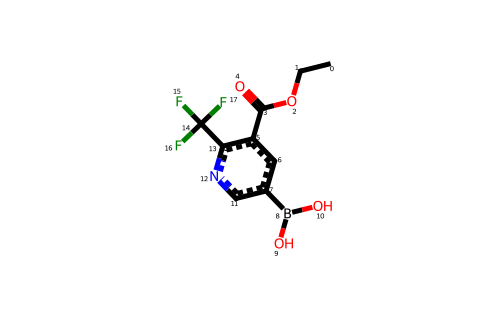 CCOC(=O)c1cc(B(O)O)cnc1C(F)(F)F